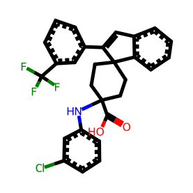 O=C(O)C1(Nc2cccc(Cl)c2)CCC2(CC1)C(c1cccc(C(F)(F)F)c1)=Cc1ccccc12